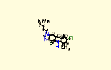 CNCCCCn1cnc2c(F)c(Nc3ccc(Cl)cc3C)c(C=O)cc21